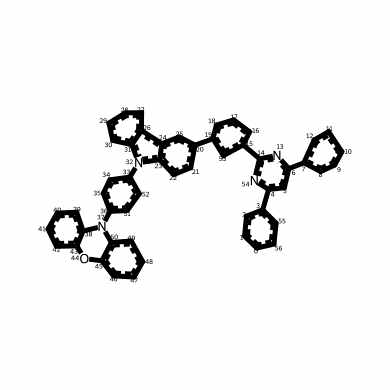 c1ccc(-c2cc(-c3ccccc3)nc(-c3cccc(-c4ccc5c(c4)c4ccccc4n5-c4ccc(N5c6ccccc6Oc6ccccc65)cc4)c3)n2)cc1